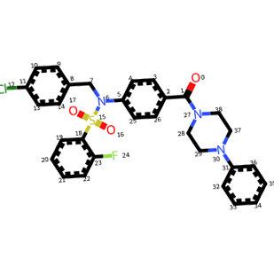 O=C(c1ccc(N(Cc2ccc(Cl)cc2)S(=O)(=O)c2ccccc2F)cc1)N1CCN(c2ccccc2)CC1